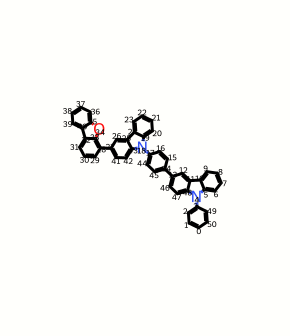 c1ccc(-n2c3ccccc3c3cc(-c4ccc(-n5c6ccccc6c6cc(-c7cccc8c7oc7ccccc78)ccc65)cc4)ccc32)cc1